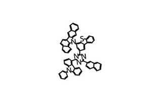 c1ccc(-n2c3ccccc3c3c(-c4nc(-c5ccc6ccccc6c5)nc(-c5cc(-n6c7cc8ccccc8cc7c7ccc8ccccc8c76)c6sc7ccccc7c6c5)n4)cccc32)cc1